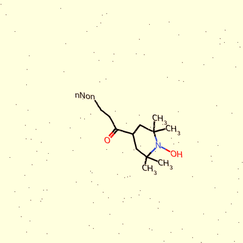 CCCCCCCCCCCC(=O)C1CC(C)(C)N(O)C(C)(C)C1